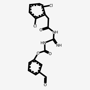 N=C(NC(=O)Cc1c(Cl)cccc1Cl)NC(=O)Oc1cccc(C=O)c1